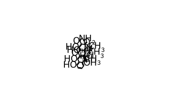 CN(C)[C@@H]1C(=O)C(C(N)=O)=C(O)[C@@]2(O)C(=O)C3=C(O)c4c(O)cccc4[C@@](C)(O)[C@H]3C[C@@H]12.Cl